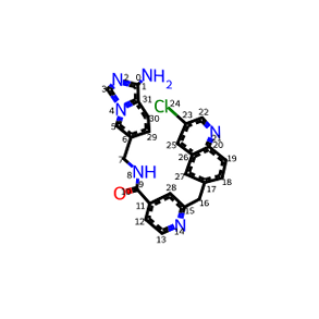 Nc1ncn2cc(CNC(=O)c3ccnc(Cc4ccc5ncc(Cl)cc5c4)c3)ccc12